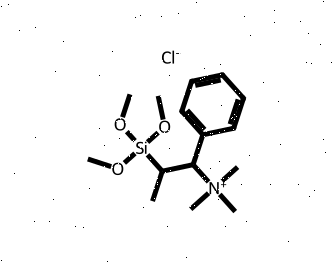 CO[Si](OC)(OC)C(C)C(c1ccccc1)[N+](C)(C)C.[Cl-]